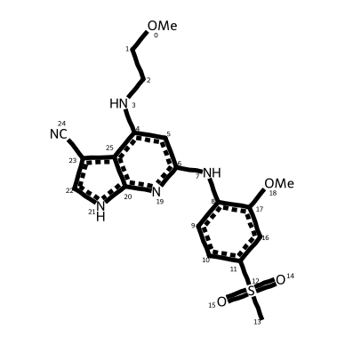 COCCNc1cc(Nc2ccc(S(C)(=O)=O)cc2OC)nc2[nH]cc(C#N)c12